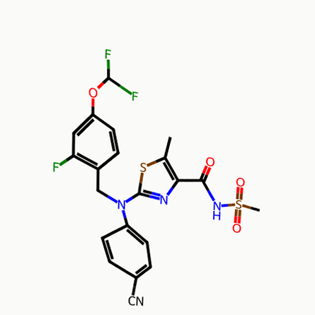 Cc1sc(N(Cc2ccc(OC(F)F)cc2F)c2ccc(C#N)cc2)nc1C(=O)NS(C)(=O)=O